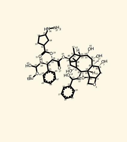 CC(=O)O[C@]12COC1C[C@@H](O)[C@@]1(C)[C@H]2[C@@H](OC(O)c2ccccc2)[C@@]2(O)C[C@@H](OC(=O)[C@@H](OC(=O)C3CCC(NN)C3)[C@H](NC(O)OC(C)(C)C)c3ccccc3)C(C)[C@H]([C@H](O)[C@@H]1O)C2(C)C